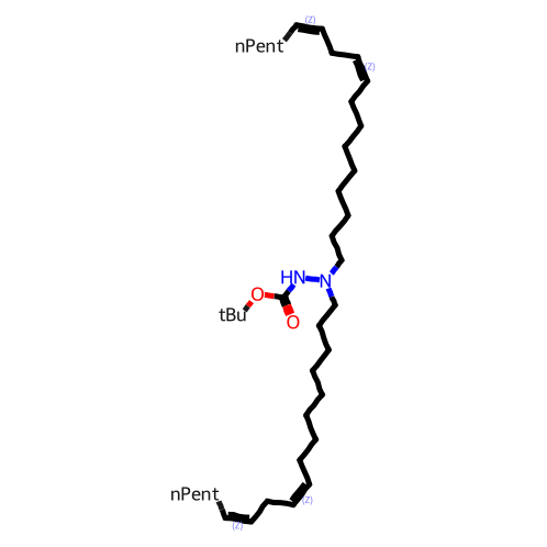 CCCCC/C=C\C/C=C\CCCCCCCCN(CCCCCCCC/C=C\C/C=C\CCCCC)NC(=O)OC(C)(C)C